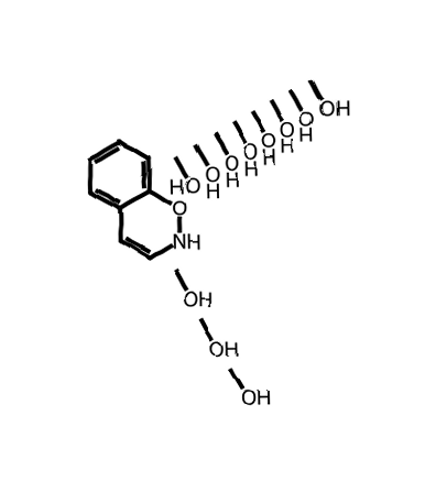 C1=Cc2ccccc2ON1.CO.CO.CO.CO.CO.CO.CO.CO.CO.CO.CO